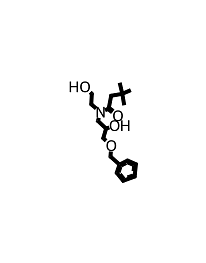 CC(C)(C)CC(=O)N(CCO)CC(O)COCc1ccccc1